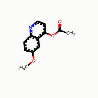 COc1ccc2nccc(OC(C)=O)c2c1